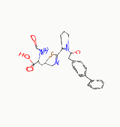 O=CNC(CC1CN=C(C2CCCN2C(=O)Cc2ccc(-c3ccccc3)cc2)S1)C(=O)O